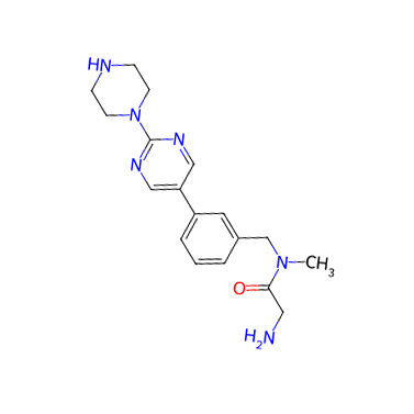 CN(Cc1cccc(-c2cnc(N3CCNCC3)nc2)c1)C(=O)CN